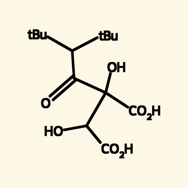 CC(C)(C)C(C(=O)C(O)(C(=O)O)C(O)C(=O)O)C(C)(C)C